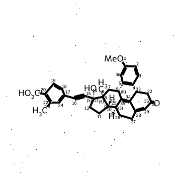 COc1cccc([C@H]2C[C@@]3(C)[C@@H](CC[C@@]3(O)C#Cc3ccc(C(=O)O)c(C)c3)[C@@H]3CCC4=CC(=O)CCC4=C32)c1